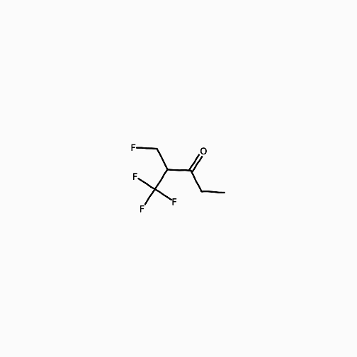 CCC(=O)C(CF)C(F)(F)F